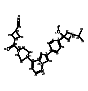 COC1(c2ccc(-c3cc4c(N5CCN(C(=O)C6CC(C#N)C6)CC5)ccnn4c3)cc2)CN(C(C)C)C1